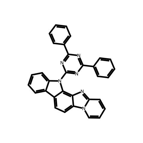 c1ccc(-c2nc(-c3ccccc3)nc(-n3c4ccccc4c4ccc5c(nc6ccccn65)c43)n2)cc1